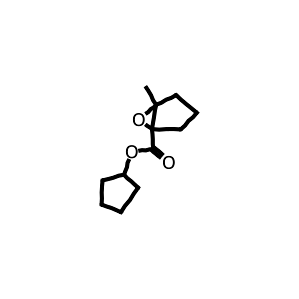 CC12CCCC1(C(=O)OC1CCCC1)O2